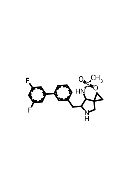 CS(=O)(=O)NC1C(Cc2cccc(-c3cc(F)cc(F)c3)c2)NCC12CC2